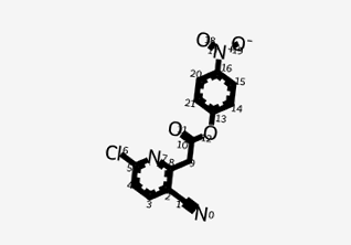 N#Cc1ccc(Cl)nc1CC(=O)Oc1ccc([N+](=O)[O-])cc1